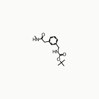 CNC(=O)Cc1cccc(CNC(=O)OC(C)(C)C)c1